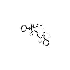 CC1=NN(c2ccccc2)C(=O)/C1=C\C=C1\Oc2ccccc2N1C